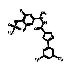 C[C@@H](NC(=O)c1cnc(-c2cc(C(F)(F)F)cc(C(F)(F)F)c2)s1)c1cc(F)c(NS(C)(=O)=O)c(F)c1